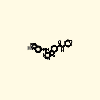 O=C(NC1CCOCC1)C1CCc2c(sc3ncnc(Nc4ccc5[nH]ncc5c4)c23)C1